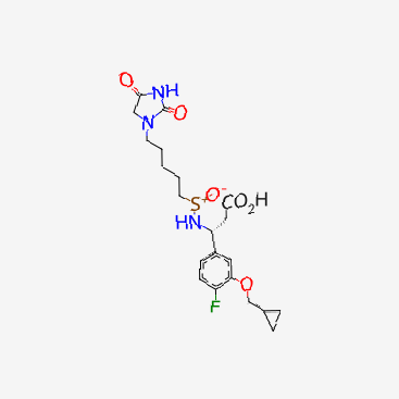 O=C(O)C[C@@H](N[S+]([O-])CCCCCN1CC(=O)NC1=O)c1ccc(F)c(OCC2CC2)c1